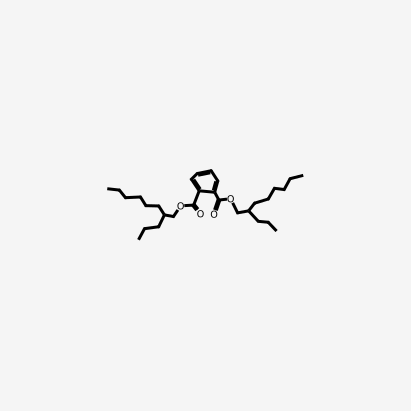 CCCCCCC(CCC)COC(=O)c1ccccc1C(=O)OCC(CCC)CCCCCC